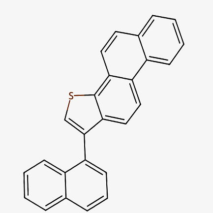 c1ccc2c(-c3csc4c3ccc3c5ccccc5ccc34)cccc2c1